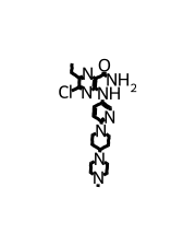 CCc1nc(C(N)=O)c(Nc2ccc(N3CCC(N4CCN(C)CC4)CC3)nc2)nc1Cl